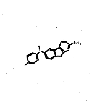 Cc1ccc(N(C)c2ccc3c(c2)-c2ccc(N)cc2C3)cc1